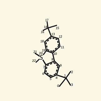 CC(C)(C)c1ccc2c(c1)-c1ccc(C(C)(C)C)cc1S2(C)C